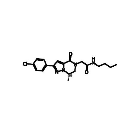 CCCCNC(=O)CN1C[C@H](C)n2nc(-c3ccc(Cl)cc3)cc2C1=O